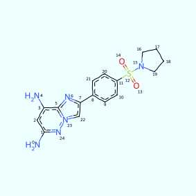 Nc1cc(N)c2nc(-c3ccc(S(=O)(=O)N4CCCC4)cc3)cn2n1